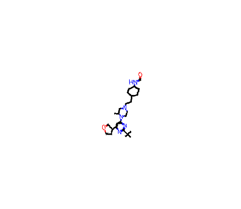 CC1CN(CCC2CCC(NC=O)CC2)CCN1c1cc(C2CCOC2)nc(C(C)(C)C)n1